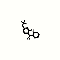 CC(C)(C)Cc1ccc2c(=O)c3ccccc3oc2c1